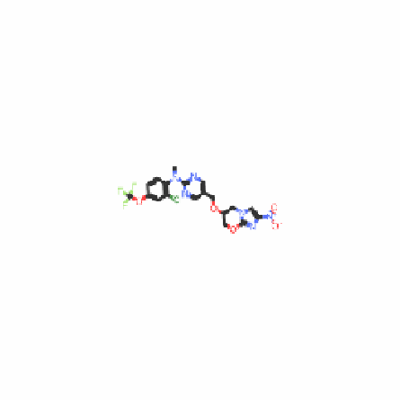 CN(c1ncc(CO[C@@H]2COc3nc([N+](=O)[O-])cn3C2)cn1)c1ccc(OC(F)(F)F)cc1Cl